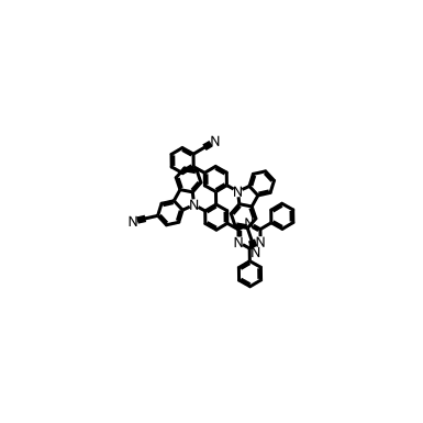 N#Cc1ccc2c(c1)c1ccccc1n2-c1ccc(-c2nc(-c3ccccc3)nc(-c3ccccc3)n2)cc1-c1cc(-c2ccccc2C#N)ccc1-n1c2ccccc2c2cc(C#N)ccc21